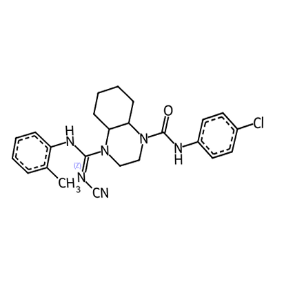 Cc1ccccc1N/C(=N/C#N)N1CCN(C(=O)Nc2ccc(Cl)cc2)C2CCCCC21